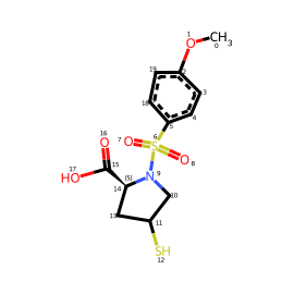 COc1ccc(S(=O)(=O)N2CC(S)C[C@H]2C(=O)O)cc1